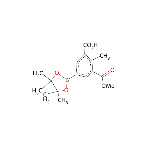 COC(=O)c1cc(B2OC(C)(C)C(C)(C)O2)cc(C(=O)O)c1C